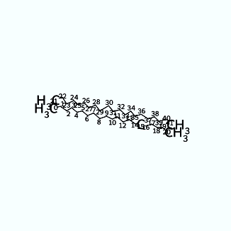 CCCCCCCCCCCCCCCCCCCCC.CCCCCCCCCCCCCCCCCCCCC